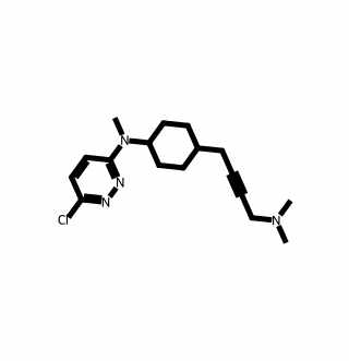 CN(C)CC#CCC1CCC(N(C)c2ccc(Cl)nn2)CC1